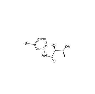 C[C@H](O)[C@@H]1Oc2ccc(Br)cc2NC1=O